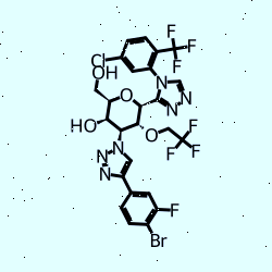 OC[C@H]1O[C@@H](c2nncn2-c2cc(Cl)ccc2C(F)(F)F)[C@H](OCC(F)(F)F)[C@@H](n2cc(-c3ccc(Br)c(F)c3)nn2)[C@H]1O